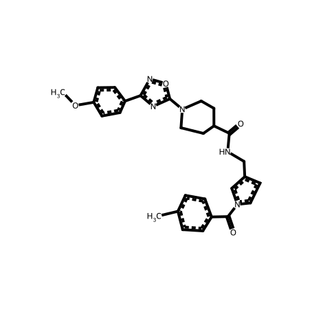 COc1ccc(-c2noc(N3CCC(C(=O)NCc4ccn(C(=O)c5ccc(C)cc5)c4)CC3)n2)cc1